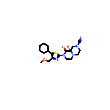 COCc1nc(N2CCN3CCN(C#N)C[C@@H]3C2=O)sc1C1CCCCC1